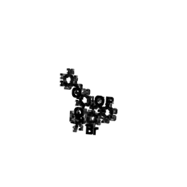 CC(C)(C)[Si](C)(C)OCc1cc(OCc2ccccc2)ccc1C(C(=O)c1ccccc1F)c1ccc(Br)cc1